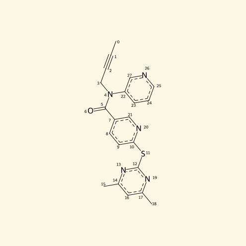 CC#CCN(C(=O)c1ccc(Sc2nc(C)cc(C)n2)nc1)c1cccnc1